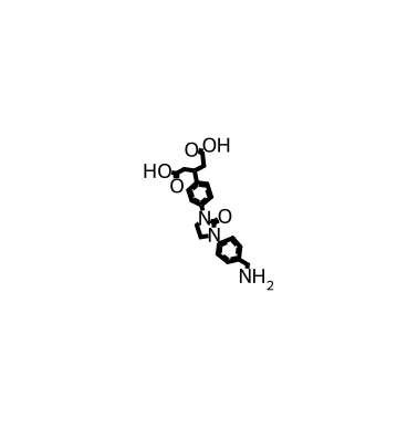 NCc1ccc(N2CCN(c3ccc(C(CC(=O)O)CC(=O)O)cc3)C2=O)cc1